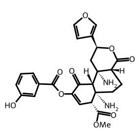 COC(=O)[C@@H]1C=C(OC(=O)c2cccc(O)c2)C(=O)[C@H]2[C@@]1(N)CC[C@H]1C(=O)O[C@H](c3ccoc3)C[C@]21N